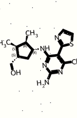 C[C@@H]1[C@@H](CO)C[C@@H](Nc2nc(N)nc(Cl)c2-c2nccs2)[C@@H]1C